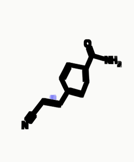 N#C/C=C/c1ccc(C(N)=O)cc1